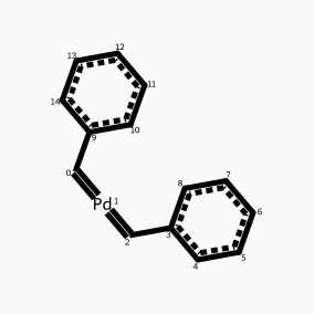 [CH](=[Pd]=[CH]c1ccccc1)c1ccccc1